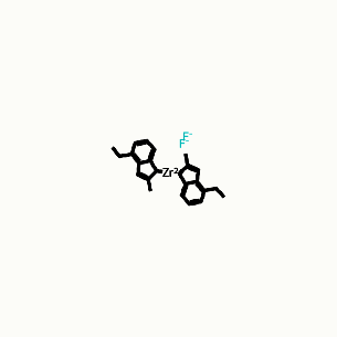 CCc1cccc2c1C=C(C)[CH]2[Zr+2][CH]1C(C)=Cc2c(CC)cccc21.[F-].[F-]